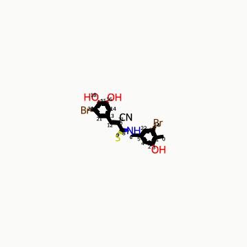 Cc1c(O)cc(CNC(=S)/C(C#N)=C/c2cc(O)c(O)c(Br)c2)cc1Br